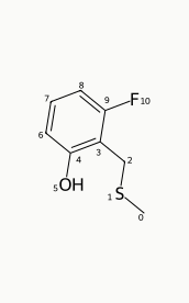 CSCc1c(O)cccc1F